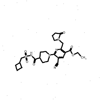 CCOC(=O)c1cc(C#N)c(N2CCC(C(=O)NS(=O)(=O)CC3CCC3)CC2)nc1CN1CCCC1=O